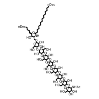 CCCCCCCCCCCCC/C=C/[C@@H](O)[C@H](CO[C@@H]1OC(CO)[C@@H](O[C@@H]2OC(CO)[C@H](O[C@@H]3OC(CO)[C@H](O)[C@H](O[C@H]4OC(CO)[C@H](O)[C@H](O[C@H]5OC(CO)[C@H](O)[C@H](O[C@H]6OC(CO)[C@H](O)[C@H](O[C@H]7OC(CO)[C@H](O)[C@H](O[C@@H]8OC(CO)[C@H](O)[C@H](O)C8NC(C)=O)C7O)C6O)C5O)C4O)C3O)[C@H](O)C2O)[C@H](O)C1O)NC(=O)CCCCCCCCCCCCCCCCCCCCCCCCC